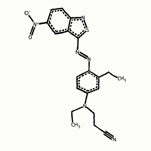 CCc1cc(N(CC)CCC#N)ccc1N=Nc1snc2ccc([N+](=O)[O-])cc12